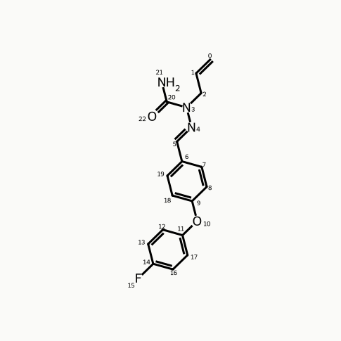 C=CCN(N=Cc1ccc(Oc2ccc(F)cc2)cc1)C(N)=O